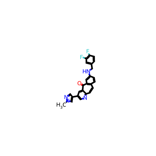 Cn1cc(-c2cnc3ccc4ccc(NCc5ccc(F)c(F)c5)cc4c(=O)c3c2)cn1